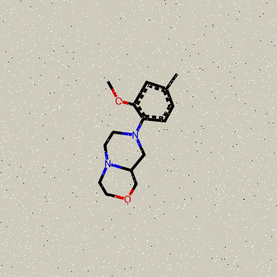 COc1cc(C)ccc1N1CCN2CCOCC2C1